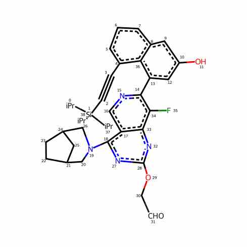 CC(C)[Si](C#Cc1cccc2cc(O)cc(-c3ncc4c(N5CC6CCC(C6)C5)nc(OCC=O)nc4c3F)c12)(C(C)C)C(C)C